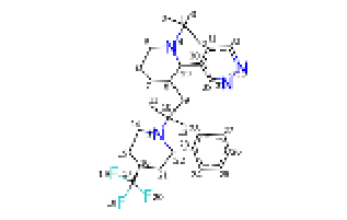 CC(C)(C)N1CCCC(CC(C)(C)N2CC[C@H](C(F)(F)F)C[C@H]2c2ccccc2)[C@@H]1c1ccnnc1